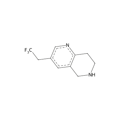 FC(F)(F)Cc1cnc2c(c1)CNCC2